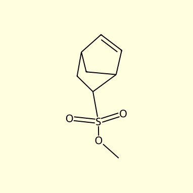 COS(=O)(=O)C1CC2C=CC1C2